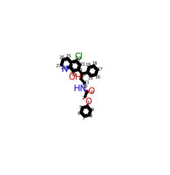 O=C(COc1ccccc1)NCCC(c1ccccc1)c1cc(Cl)c2cccnc2c1O